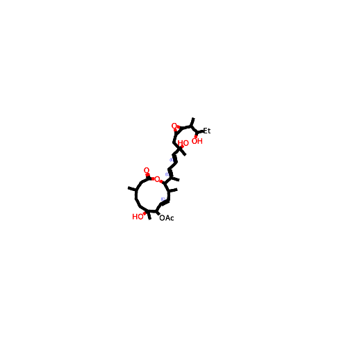 CCC(O)C(C)C1OC1CC(C)(O)/C=C/C=C(\C)C1OC(=O)CC(C)CCC(C)(O)C(OC(C)=O)/C=C/C1C